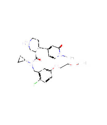 COCCOc1ccc(Cl)c(CN(C(=O)[C@H]2CNCCC2c2ccn(C)c(=O)c2)C2CC2)c1